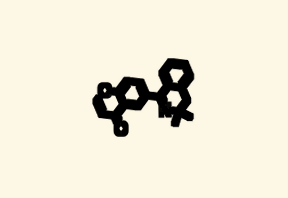 CC1(C)Cc2ccccc2C(c2ccc3occc(=O)c3c2)=N1